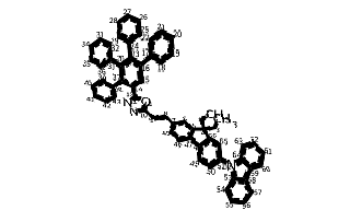 CCC1(CC)c2cc(/C=C/c3nnc(-c4cc(-c5ccccc5)c(-c5ccccc5)c(-c5ccccc5)c4-c4ccccc4)o3)ccc2-c2ccc(-n3c4ccccc4c4ccccc43)cc21